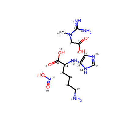 CN(CC(=O)O)C(=N)N.NCCCCC(N)C(=O)O.O=NO.c1c[nH]cn1